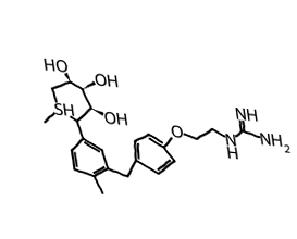 Cc1ccc(C2[C@H](O)[C@H](O)[C@H](O)C[SH]2C)cc1Cc1ccc(OCCNC(=N)N)cc1